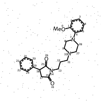 COc1ccccc1N1CCN(CCCN2C(=O)CC(c3ccccc3)C2=O)CC1